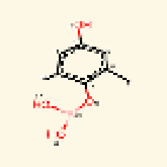 Cc1cc(O)cc(C)c1OB(O)O